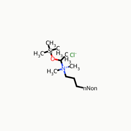 CCCCCCCCCCCC[N+](C)(C)C(C)O[Si](C)(C)C.[Cl-]